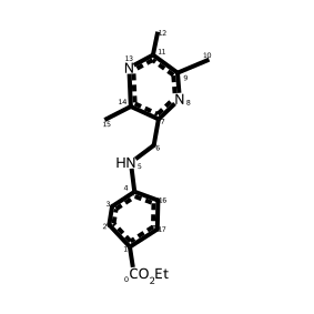 CCOC(=O)c1ccc(NCc2nc(C)c(C)nc2C)cc1